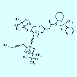 CCC#CC[C@H](C)[C@@H](C#C[C@H]1[C@H](O[Si](C)(C)C(C)(C)C)CC2C/C(=C\C(=O)OC3CCCC[C@@H]3C(C)(C)c3ccccc3)C[C@@H]21)O[Si](C)(C)C(C)(C)C